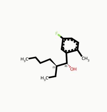 CCCC[C@H](CC)[C@@H](O)c1cc(F)ccc1C